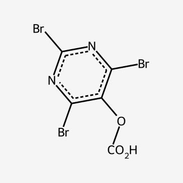 O=C(O)Oc1c(Br)nc(Br)nc1Br